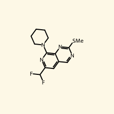 CSc1ncc2cc(C(F)F)nc(N3CCCCC3)c2n1